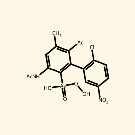 CC(=O)Nc1cc(C)c(C(C)=O)c(-c2cc([N+](=O)[O-])ccc2Cl)c1[As](=O)(O)OO